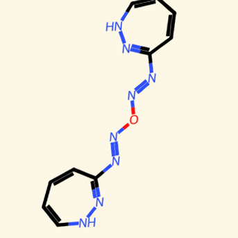 C1=CNN=C(N=NON=NC2=NNC=CC=C2)C=C1